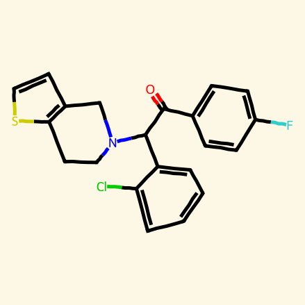 O=C(c1ccc(F)cc1)C(c1ccccc1Cl)N1CCc2sccc2C1